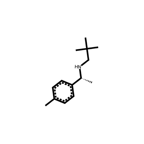 Cc1ccc([C@@H](C)NCC(C)(C)C)cc1